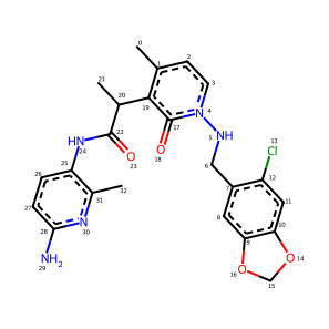 Cc1ccn(NCc2cc3c(cc2Cl)OCO3)c(=O)c1C(C)C(=O)Nc1ccc(N)nc1C